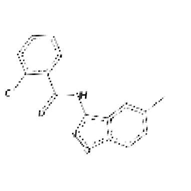 Cc1ccc2onc(NC(=O)c3ccccc3Cl)c2c1